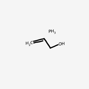 C=CCO.P